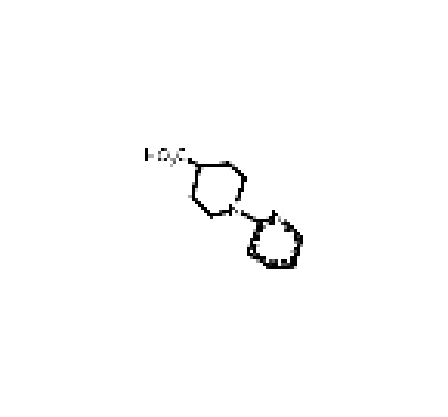 O=C(O)C1CCN(c2ccccn2)CC1